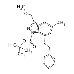 COCc1nn(C(=O)OC(C)(C)C)c2c(SCc3ccccc3)cc(C)cc12